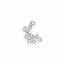 c1ccc(-c2cccc(-n3c4ccc5c(c6ccccc6n5-c5nc(-c6ccc7c(c6)oc6ccccc67)c6ccccc6n5)c4c4c5ccccc5c5ccccc5c43)c2)cc1